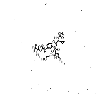 CCn1cc(S(=O)(=O)N2C[C@H]([C@H](NC(C)=O)C3CC3)Oc3ccc(NC(=O)OC(C)(C)C(F)(F)F)cc32)c(OCCO)n1